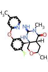 Cc1ccnc(Oc2ccc(F)c([C@]34CO[C@@H](C)C[C@H]3C(=O)N(C)C(=N)N4)c2)c1